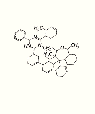 CC1C=CCCC1C1=NC(c2ccccc2)NC(C2CCC=C(C3CC=CC(C4(C5=CCCC=C5)C5CCCCC5C(C)OC5CCCCC54C)C3)C2)N1C